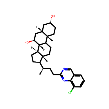 C[C@H](CCc1ncc2cccc(Cl)c2n1)[C@H]1CC[C@H]2[C@H]3C(CC[C@]12C)[C@@]1(C)CC[C@@H](O)C[C@H]1C[C@@H]3O